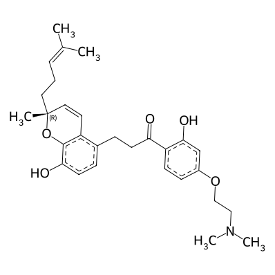 CC(C)=CCC[C@]1(C)C=Cc2c(CCC(=O)c3ccc(OCCN(C)C)cc3O)ccc(O)c2O1